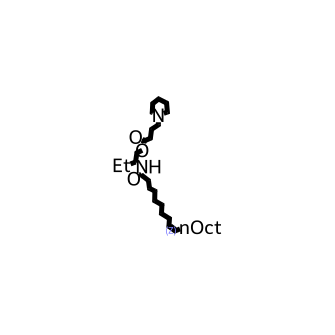 CCCCCCCC/C=C\CCCCCCCC(=O)NC(CC)COC(=O)CCCN1CCCCC1